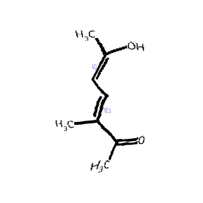 CC(=O)/C(C)=C/C=C(/C)O